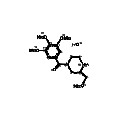 COCC1CN(C(=O)c2cc(OC)c(OC)c(OC)c2)CCN1.Cl